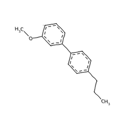 CCCc1ccc(-c2cc[c]c(OC)c2)cc1